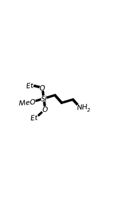 CCO[Si](CCCN)(OC)OCC